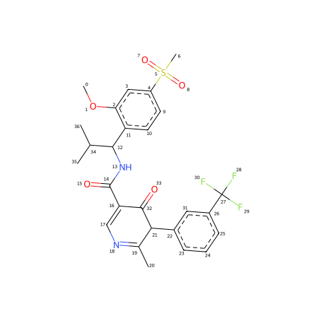 COc1cc(S(C)(=O)=O)ccc1C(NC(=O)C1=CN=C(C)C(c2cccc(C(F)(F)F)c2)C1=O)C(C)C